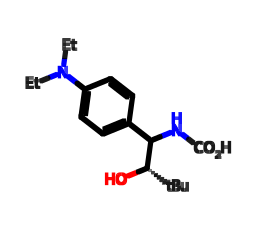 CCN(CC)c1ccc(C(NC(=O)O)[C@@H](O)C(C)(C)C)cc1